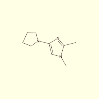 Cc1nc(N2CCCC2)cn1C